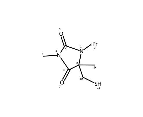 CC(C)N1C(=O)N(C)C(=O)C1(C)CS